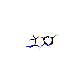 C/N=C1/Nc2ncc(Br)cc2OC1(C)C